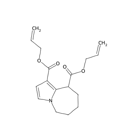 C=CCOC(=O)c1ccn2c1C(C(=O)OCC=C)CCCC2